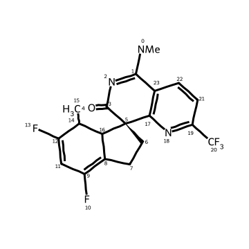 CNC1=NC(=O)[C@]2(CCC3=C(F)C=C(F)C(C)C32)c2nc(C(F)(F)F)ccc21